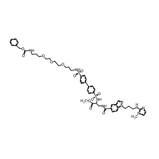 COC(=O)C(CNC(=O)c1ccc2c(cnn2CCCNc2nccn2C)c1)NS(=O)(=O)c1ccc(-c2ccc(S(=O)(=O)NCCCOCCOCCOCCCNC(=O)OCc3ccccc3)cc2)cc1